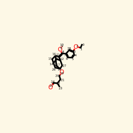 CCOc1cccc(C(OC)=C2C3CC4CC2CC(OCCC(C)C=O)(C4)C3)c1